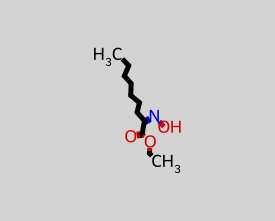 CCCCCCCC(=NO)C(=O)OCC